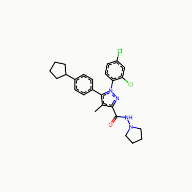 Cc1c(C(=O)NN2CCCC2)nn(-c2ccc(Cl)cc2Cl)c1-c1ccc(C2CCCC2)cc1